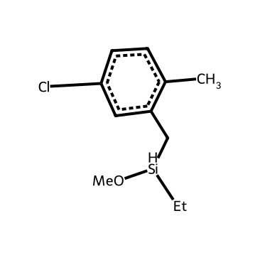 CC[SiH](Cc1cc(Cl)ccc1C)OC